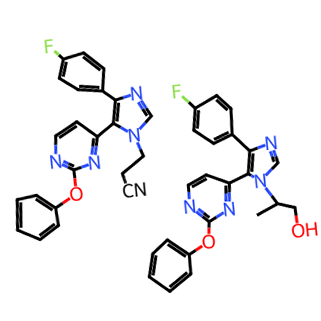 CC(CO)n1cnc(-c2ccc(F)cc2)c1-c1ccnc(Oc2ccccc2)n1.N#CCCn1cnc(-c2ccc(F)cc2)c1-c1ccnc(Oc2ccccc2)n1